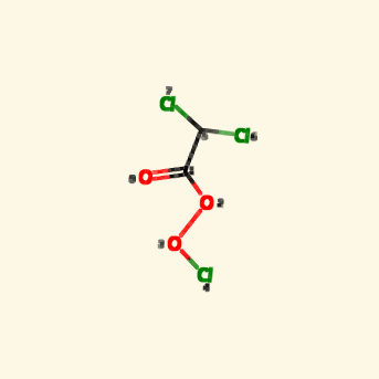 O=C(OOCl)C(Cl)Cl